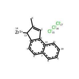 CC1=Cc2c(ccc3ccccc23)[CH]1[Zr+3].[Cl-].[Cl-].[Cl-]